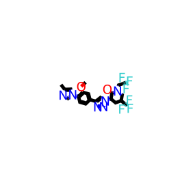 COc1cc(-c2cn(C3CC(C(F)(F)F)CN(CC(F)(F)F)C3=O)nn2)ccc1-n1cnc(C)c1